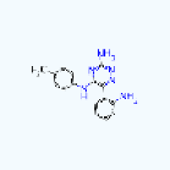 Nc1nnc(-c2ccccc2N)c(Nc2ccc(C(F)(F)F)cc2)n1